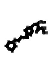 CCCCCCC(Sc1ccc(NCCCN2CCOCC2)cc1)C(=O)NO